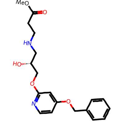 COC(=O)CCNC[C@@H](O)COc1cc(OCc2ccccc2)ccn1